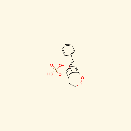 C(=Cc1c2cccc1OOCC2)c1ccccc1.O=S(=O)(O)O